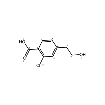 O=C(O)c1ccc(CCO)cc1Cl